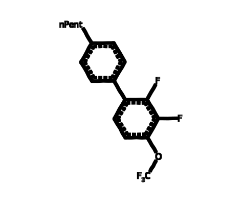 CCCCCc1ccc(-c2ccc(OC(F)(F)F)c(F)c2F)cc1